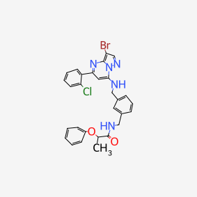 CC(Oc1ccccc1)C(=O)NCc1cccc(CNc2cc(-c3ccccc3Cl)nc3c(Br)cnn23)c1